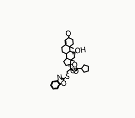 CC12CCC(=O)C=C1CCC1C2[C@@H](O)CC2(C)C1CC[C@]2(OC(=O)C1CCCC1)C(=O)CSc1nc2ccccc2o1